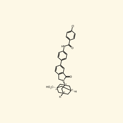 O=C(Nc1ccc(-c2ccc3c(c2)C(=O)N([C@@]24C[C@@H]5C[C@@H](C[C@@](C(=O)O)(C5)C2)C4)C3)cc1)c1ccc(Cl)cc1